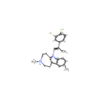 C/C(=C\n1c2c(c3cc(C)ccc31)CCN(C)CC2)c1ccc(F)c(F)c1